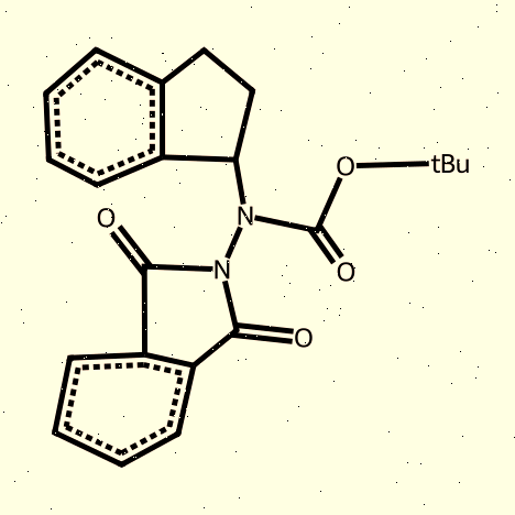 CC(C)(C)OC(=O)N(C1CCc2ccccc21)N1C(=O)c2ccccc2C1=O